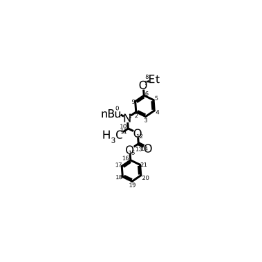 CCCCN(c1cccc(OCC)c1)C(C)OC(=O)Oc1ccccc1